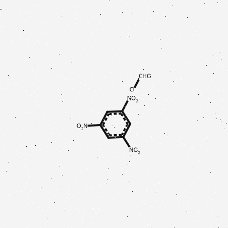 O=CCl.O=[N+]([O-])c1cc([N+](=O)[O-])cc([N+](=O)[O-])c1